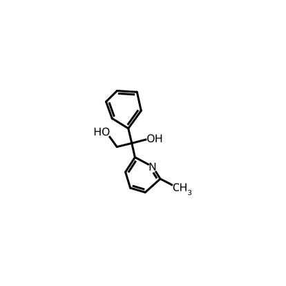 Cc1cccc(C(O)(CO)c2ccccc2)n1